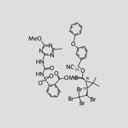 CC1(C)[C@H](C(=O)O[C@H](C#N)c2cccc(Oc3ccccc3)c2)[C@@H]1C(Br)C(Br)(Br)Br.COC(=O)c1ccccc1S(=O)(=O)NC(=O)Nc1nc(C)nc(OC)n1